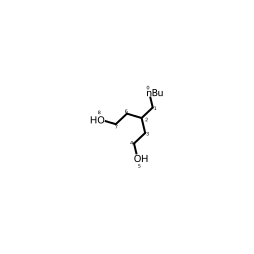 CCCCCC(CCO)CCO